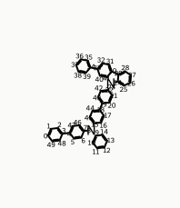 c1ccc(-c2ccc(N(c3ccccc3)c3ccc(-c4ccc(-n5c6ccccc6c6ccc(-c7ccccc7)cc65)cc4)cc3)cc2)cc1